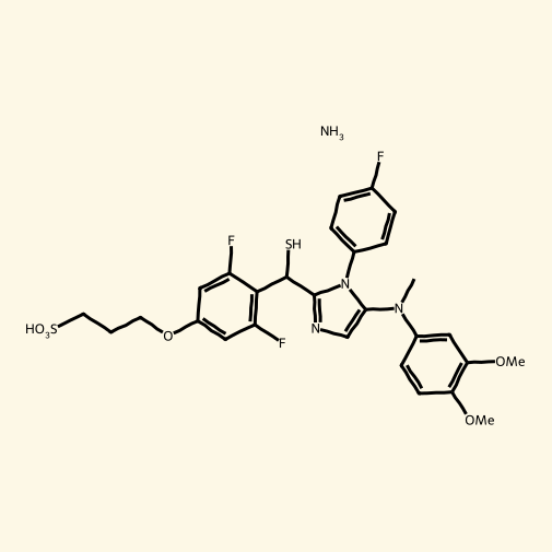 COc1ccc(N(C)c2cnc(C(S)c3c(F)cc(OCCCS(=O)(=O)O)cc3F)n2-c2ccc(F)cc2)cc1OC.N